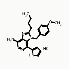 CCCCc1nc2c(N)nnc(-c3ccc[nH]3)c2n1Cc1ccc(OC)cc1.Cl